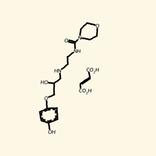 O=C(NCCNCC(O)COc1ccc(O)cc1)N1CCOCC1.O=C(O)C=CC(=O)O